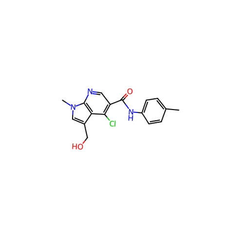 Cc1ccc(NC(=O)c2cnc3c(c(CO)cn3C)c2Cl)cc1